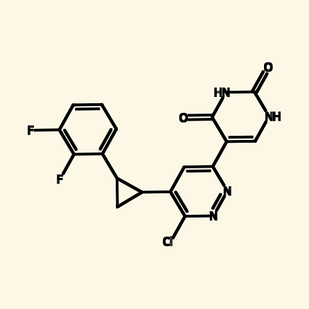 O=c1[nH]cc(-c2cc(C3CC3c3cccc(F)c3F)c(Cl)nn2)c(=O)[nH]1